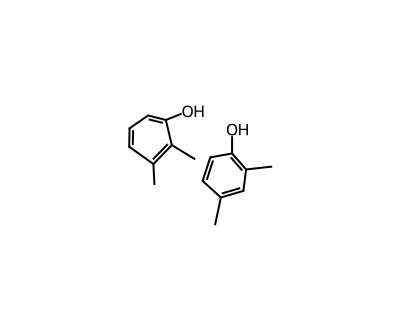 Cc1ccc(O)c(C)c1.Cc1cccc(O)c1C